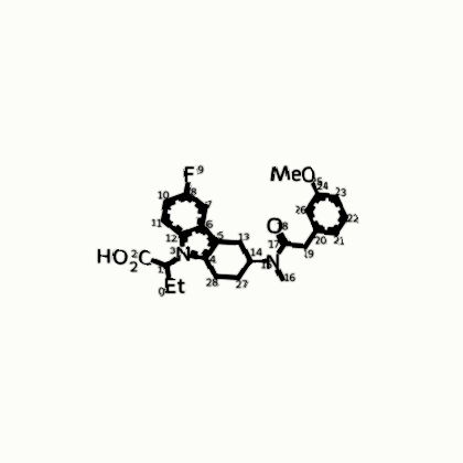 CCC(C(=O)O)n1c2c(c3cc(F)ccc31)C[C@@H](N(C)C(=O)Cc1cccc(OC)c1)CC2